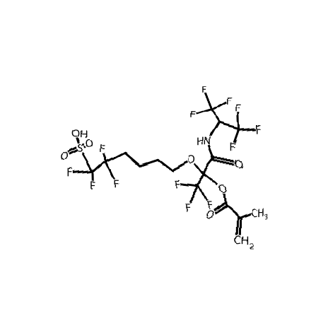 C=C(C)C(=O)OC(OCCCCC(F)(F)C(F)(F)S(=O)(=O)O)(C(=O)NC(C(F)(F)F)C(F)(F)F)C(F)(F)F